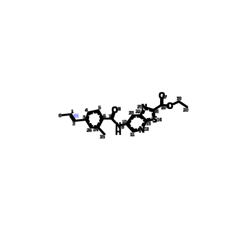 C/C=C/c1ccc(C(=O)Nc2cnc3sc(C(=O)OCC)nc3c2)c(C)c1